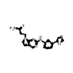 NC(=O)CCn1ccc2cnc(Nc3cccc(-c4cnco4)c3)nc21